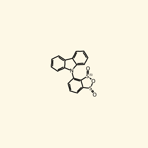 O=S1O[S@](=O)c2c(-n3c4ccccc4c4ccccc43)cccc21